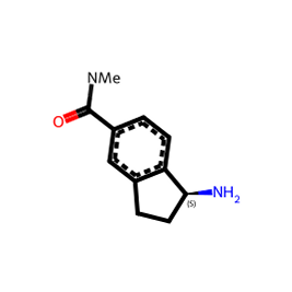 CNC(=O)c1ccc2c(c1)CC[C@@H]2N